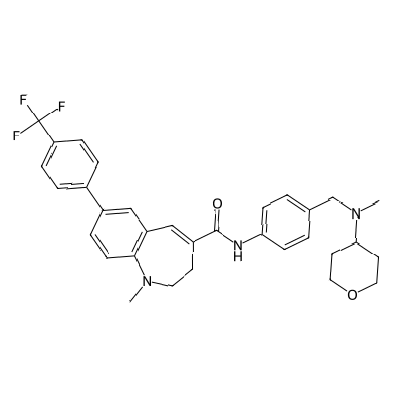 CN1CCC(C(=O)Nc2ccc(CN(C)C3CCOCC3)cc2)=Cc2cc(-c3ccc(C(F)(F)F)cc3)ccc21